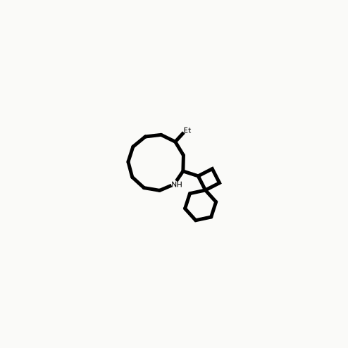 CCC1CCCCCCCNC(C2CCC23CCCCC3)C1